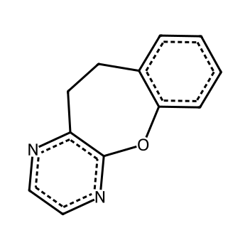 c1ccc2c(c1)CCc1nccnc1O2